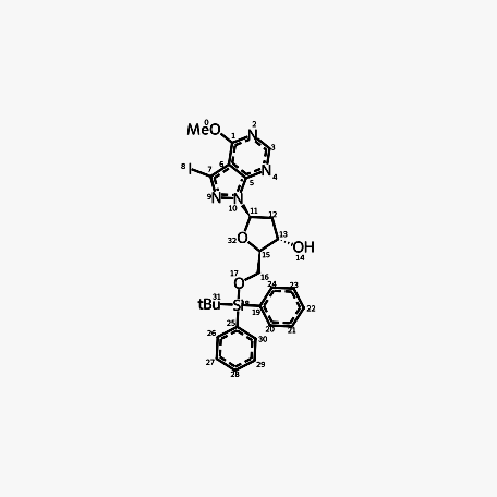 COc1ncnc2c1c(I)nn2[C@H]1C[C@H](O)[C@@H](CO[Si](c2ccccc2)(c2ccccc2)C(C)(C)C)O1